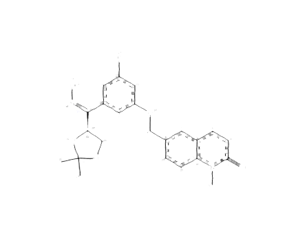 Cn1c(=O)ccc2cc(COc3cc(F)cc(/C(=N\O)[C@H]4COC(C)(C)O4)c3)ccc21